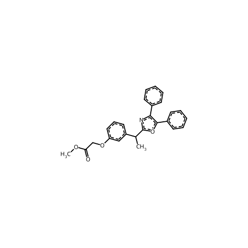 COC(=O)COc1cccc(C(C)c2nc(-c3ccccc3)c(-c3ccccc3)o2)c1